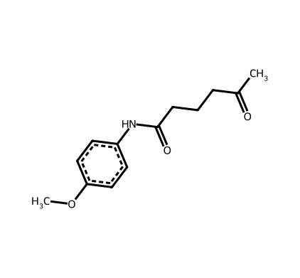 COc1ccc(NC(=O)CCCC(C)=O)cc1